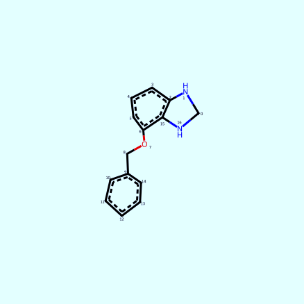 [CH]1Nc2cccc(OCc3ccccc3)c2N1